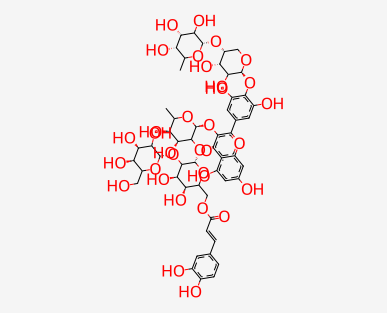 CC1O[C@@H](O[C@@H]2CO[C@@H](Oc3c(O)cc(-c4oc5cc(O)cc(O)c5c(=O)c4O[C@@H]4OC(C)[C@H](O)[C@H](O)C4O[C@@H]4OC(COC(=O)/C=C/c5ccc(O)c(O)c5)[C@@H](O)[C@@H](O)C4O[C@@H]4OC(CO)[C@@H](O)[C@@H](O)C4O)cc3O)C(O)[C@@H]2O)C(O)[C@@H](O)[C@H]1O